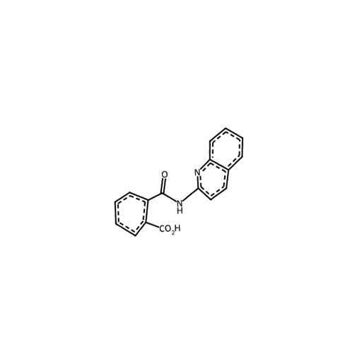 O=C(O)c1ccccc1C(=O)Nc1ccc2ccccc2n1